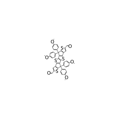 COc1ccc(C2(c3ccc(OC)cc3)c3sc(C=O)cc3-c3sc4c5c(sc4c32)-c2cc(C=O)sc2C5(c2ccc(OC)cc2)c2ccc(OC)cc2)cc1